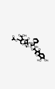 CO[C@@]1(NC(=O)C(NC(=O)c2coc3c(O)c(O)ccc3c2=O)c2ccccc2)C(=O)N2C(C(=O)O)=C(COC(C)=O)CS[C@H]21